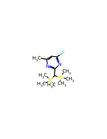 Cc1cc(F)nc(C(S(C)(C)C)S(C)(C)C)n1